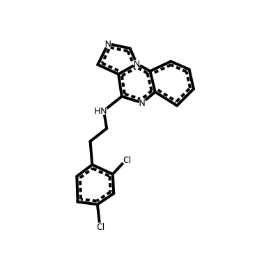 Clc1ccc(CCNc2nc3ccccc3n3cncc23)c(Cl)c1